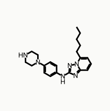 CCCCCc1cccc2nc(Nc3ccc(N4CCNCC4)cc3)nn12